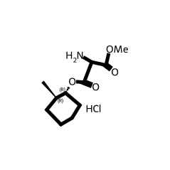 COC(=O)C(N)C(=O)O[C@@H]1CCCC[C@H]1C.Cl